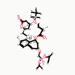 CC[C@H](C)C(=O)O[C@H]1C[C@H](OCP(=O)(OC(C)C)OC(C)C)C=C2C=C[C@H](C)[C@H](CC[C@@H]3C[C@@H](O[Si](C)(C)C(C)(C)C)CC(=O)O3)[C@H]21